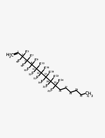 C=CC(F)(F)C(F)(F)C(F)(F)C(F)(F)C(F)(F)C(F)(F)C(F)(F)C(F)(F)CCCCCC